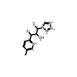 Cc1ccc(C(F)C(O)C(F)n2cnnn2)nc1